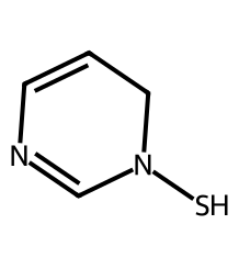 SN1C=NC=CC1